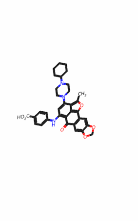 Cc1oc2c3c(c(Nc4ccc(C(=O)O)cc4)cc(N4CCN(C5CCCCC5)CC4)c13)C(=O)c1cc3c(cc1-2)OCO3